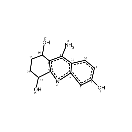 Nc1c2c(nc3cc(O)ccc13)C(O)CCC2O